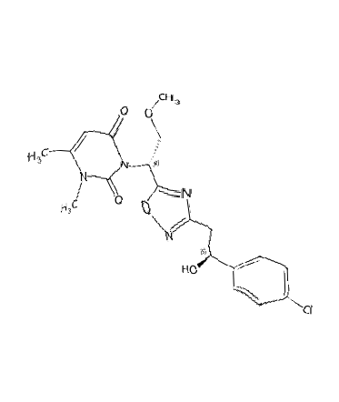 COC[C@H](c1nc(C[C@H](O)c2ccc(Cl)cc2)no1)n1c(=O)cc(C)n(C)c1=O